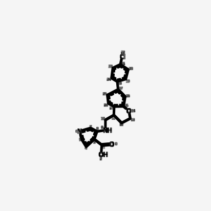 O=C(O)c1ccncc1NCC1CCOc2cc(-c3ccc(Cl)cc3)ccc21